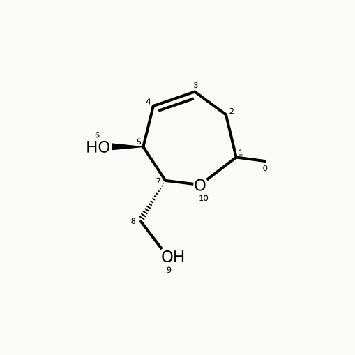 CC1CC=C[C@H](O)[C@@H](CO)O1